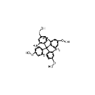 Bc1cc(OO)ccc1C(c1ccc(OO)cc1B)(c1ccc(OO)cc1B)c1ccc(OO)cc1B